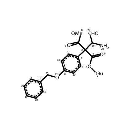 COC(=O)C(C(=O)OC(C)(C)C)(c1ccc(OCc2ccccc2)cc1)C(N)C=O